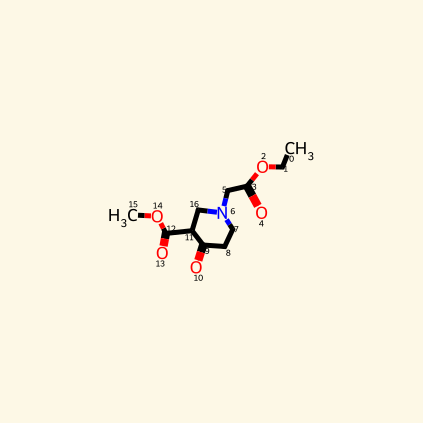 CCOC(=O)CN1CCC(=O)C(C(=O)OC)C1